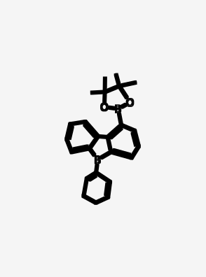 CC1(C)OB(c2cccc3c2-c2ccccc2B3C2=CCCC=C2)OC1(C)C